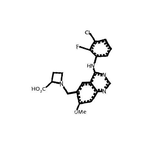 COc1cc2ncnc(Nc3cccc(Cl)c3F)c2cc1CN1CCC1C(=O)O